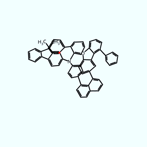 CC1(C)c2ccccc2-c2ccc(N(c3ccc(-c4cccc5cccc(-c6ccc7oc8cccc(-c9ccccc9)c8c7c6)c45)cc3)c3ccccc3-c3ccccc3)cc21